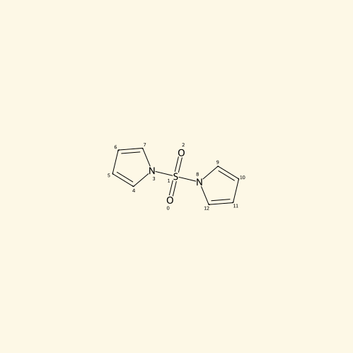 O=S(=O)(n1cccc1)n1cccc1